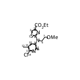 CCOC(=O)c1csc(N(CCOC)c2cc(C)c(Cl)nn2)n1